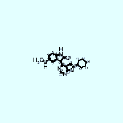 CBc1ccc2c(c1)C(c1ncnc3nn(C4CCCCC4)cc13)C(=O)N2